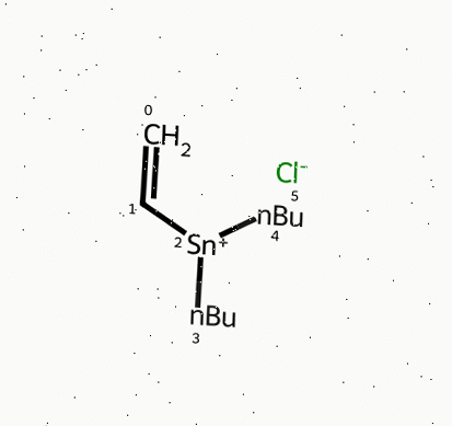 C=[CH][Sn+]([CH2]CCC)[CH2]CCC.[Cl-]